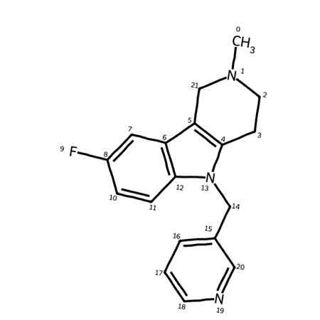 CN1CCc2c(c3cc(F)ccc3n2Cc2cccnc2)C1